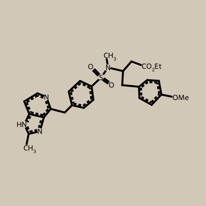 CCOC(=O)CC(Cc1ccc(OC)cc1)N(C)S(=O)(=O)c1ccc(Cc2nccc3[nH]c(C)nc23)cc1